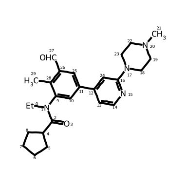 CCN(C(=O)C1CCCC1)c1cc(-c2ccnc(N3CCN(C)CC3)c2)cc(C=O)c1C